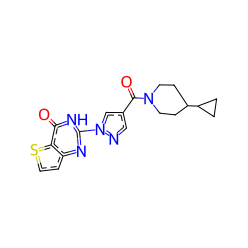 O=C(c1cnn(-c2nc3ccsc3c(=O)[nH]2)c1)N1CCC(C2CC2)CC1